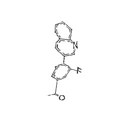 CC(=O)c1ccc(-c2cnc3ccccc3c2)c(F)c1